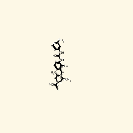 Cc1cc(NC(=O)Nc2cccc(CN3[C@H](C)CN(C(=O)O)C[C@@H]3C)c2F)ccn1